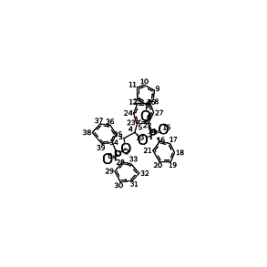 O=P(OCC(COc1ccccc1)OP(=O)(c1ccccc1)c1ccccc1)(c1ccccc1)c1ccccc1